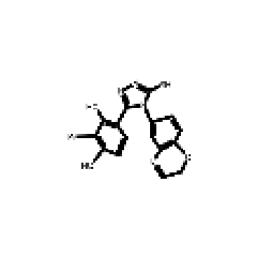 CC(C)c1c(O)ccc(-c2nnc(S)n2-c2ccc3c(c2)N=CCO3)c1O